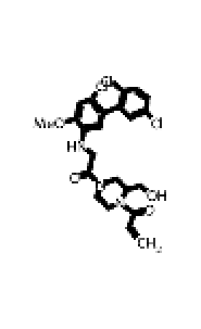 C=CC(=O)N1CCN(C(=O)CNc2cc(-c3cc(Cl)ccc3Cl)c(Cl)cc2OC)CC1CO